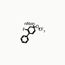 CCCCCCCCCC1(OC(F)(F)F)C=CC(c2ccccc2)=C(F)C1